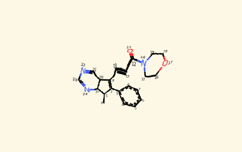 CC1C(c2ccccc2)=C(/C=C/C(=O)N2CCOCC2)C2C=NC=NC12